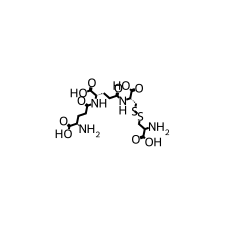 NC(CSSC[C@H](NC(=O)CC[C@H](NC(=O)CC[C@H](N)C(=O)O)C(=O)O)C(=O)O)C(=O)O